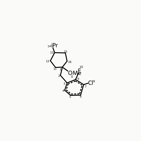 COC1(Cc2cccc(Cl)c2F)CCC(C(C)C)CC1